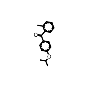 Cc1ccccc1C(=O)c1ccc(OC(C)C)cc1